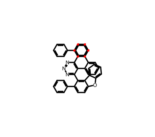 c1ccc(-c2ccccc2-c2nnnc(-c3c(-c4ccccc4)ccc4oc5ccccc5c34)c2-c2ccccc2-c2ccccc2)cc1